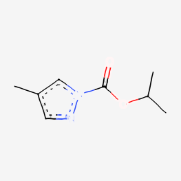 Cc1cnn(C(=O)OC(C)C)c1